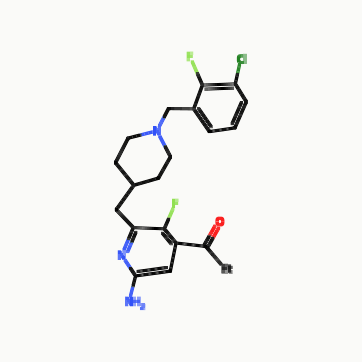 CCC(=O)c1cc(N)nc(CC2CCN(Cc3cccc(Cl)c3F)CC2)c1F